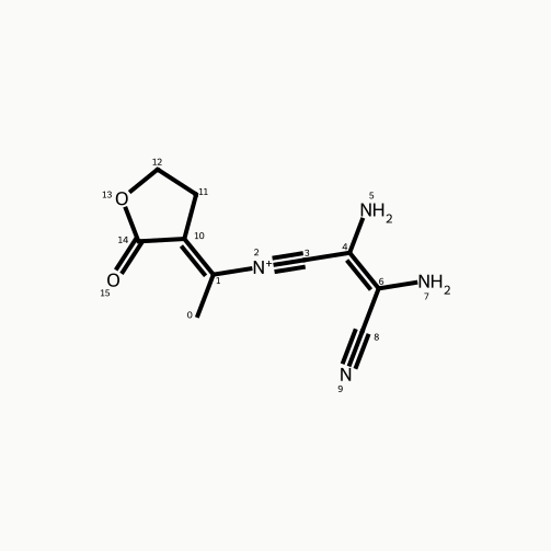 CC([N+]#C/C(N)=C(/N)C#N)=C1CCOC1=O